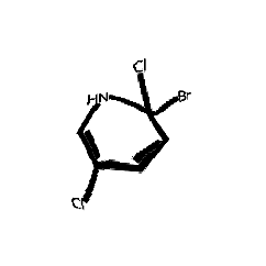 ClC1=CNC(Cl)(Br)C=C1